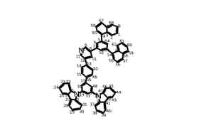 c1ccc2c(-c3cc(-c4cncc(-c5ccc(-c6cc(-n7c8ccccc8c8ccccc87)cc(-n7c8ccccc8c8ccccc87)c6)cc5)c4)cc(-c4cccc5ccccc45)c3)cccc2c1